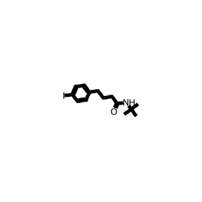 CC(C)(C)NC(=O)CCCc1ccc(I)cc1